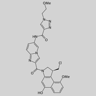 COCCn1cc(C(=O)Nc2ccc3nc(C(=O)N4C[C@@H](CCl)c5c4cc(O)c4cccc(OC)c54)cn3c2)nn1